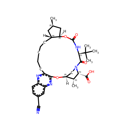 C[C@@H]1C[C@H]2CCCCCc3nc4ccc(C#N)cc4nc3O[C@H]3CN(C(=O)[C@H](C(C)(C)C)NC(=O)O[C@@H]2C1)[C@H](C(=O)O)[C@@H]3C